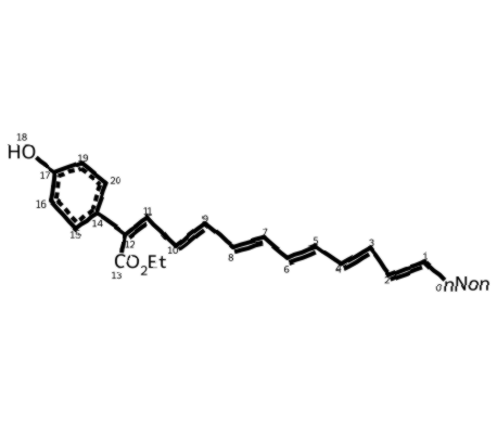 CCCCCCCCCC=CC=CC=CC=CC=CC=C(C(=O)OCC)c1ccc(O)cc1